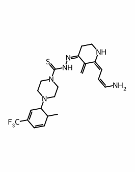 C=C1/C(=N\NC(=S)N2CCN(C3C=C(C(F)(F)F)C=CC3C)CC2)CCN/C1=C/C=C\N